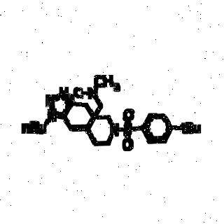 CCCCn1ncc2c1C=C1CCN(S(=O)(=O)c3ccc(C(C)(C)C)cc3)CC1(CN(C)C)C2